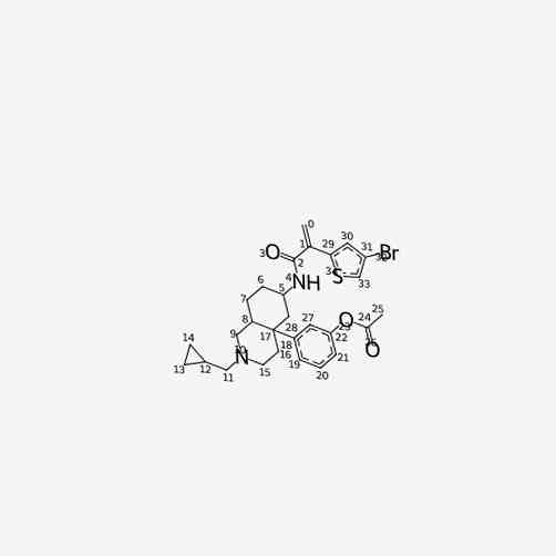 C=C(C(=O)NC1CCC2CN(CC3CC3)CCC2(c2cccc(OC(C)=O)c2)C1)c1cc(Br)cs1